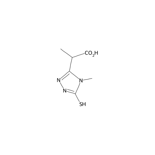 CC(C(=O)O)c1nnc(S)n1C